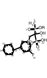 CP(=O)(O)C(O)(C[n+]1cc(F)cc(-c2ccccc2)c1)P(=O)(O)O